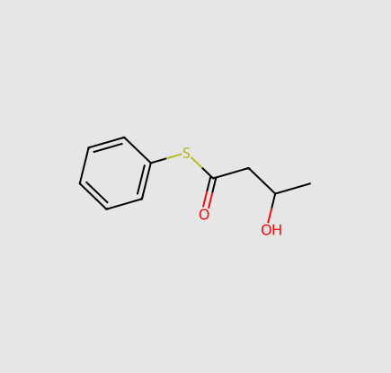 CC(O)CC(=O)Sc1ccccc1